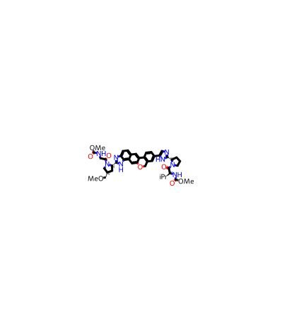 COC[C@H]1C[C@@H](c2nc3ccc4cc5c(cc4c3[nH]2)OCc2cc(-c3cnc([C@@H]4CCCN4C(=O)[C@@H](NC(=O)OC)C(C)C)[nH]3)ccc2-5)N(C(=O)CNC(=O)OC)C1